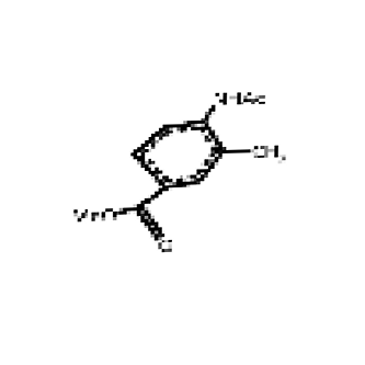 COC(=O)c1ccc(NC(C)=O)c(C)c1